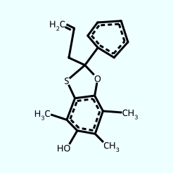 C=CCC1(c2ccccc2)Oc2c(C)c(C)c(O)c(C)c2S1